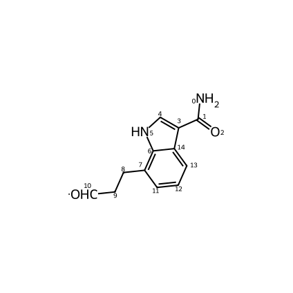 NC(=O)c1c[nH]c2c(CC[C]=O)cccc12